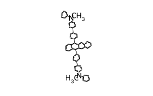 CN(c1ccccc1)c1ccc(-c2ccc(-c3c4ccccc4c(-c4ccc(-c5ccc(N(C)c6ccccc6)cc5)cc4)c4cc5ccccc5cc34)cc2)cc1